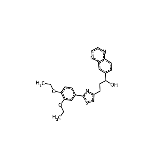 CCOc1ccc(-c2nc(CCC(O)c3ccc4nccnc4c3)cs2)cc1OCC